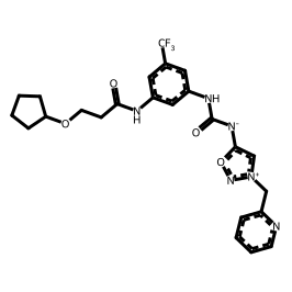 O=C(CCOC1CCCC1)Nc1cc(NC(=O)[N-]c2c[n+](Cc3ccccn3)no2)cc(C(F)(F)F)c1